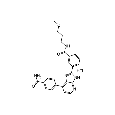 COCCCNC(=O)c1cccc(-c2nc3c(-c4ccc(C(N)=O)cc4)ccnc3[nH]2)c1.Cl